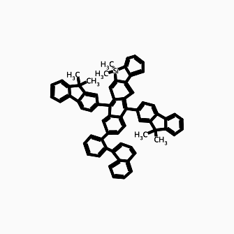 CC1(C)c2ccccc2-c2ccc(-c3c4ccc(-c5ccccc5-c5cccc6ccccc56)cc4c(-c4ccc5c(c4)C(C)(C)c4ccccc4-5)c4cc5c(cc34)-c3ccccc3[Si]5(C)C)cc21